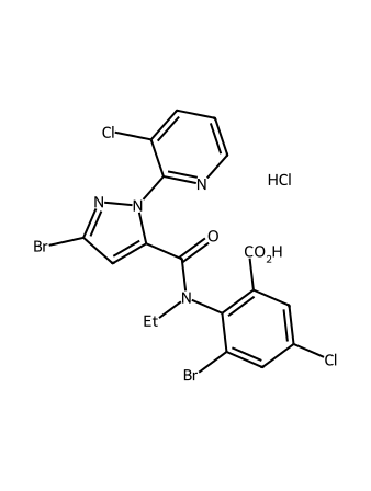 CCN(C(=O)c1cc(Br)nn1-c1ncccc1Cl)c1c(Br)cc(Cl)cc1C(=O)O.Cl